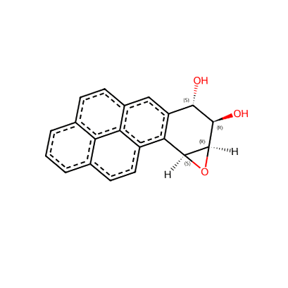 O[C@H]1[C@H]2O[C@H]2c2c(cc3ccc4cccc5ccc2c3c45)[C@@H]1O